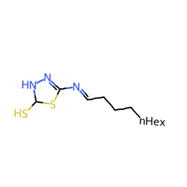 CCCCCCCCC/C=N/C1=NNC(S)S1